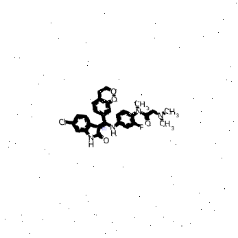 CN(C)CC(=O)N(C)c1ccc(N/C(=C2\C(=O)Nc3cc(Cl)ccc32)c2ccc3c(c2)OOCC3)cc1F